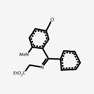 CCOC(=O)CN=C(c1ccccc1)c1cc(Cl)ccc1NC